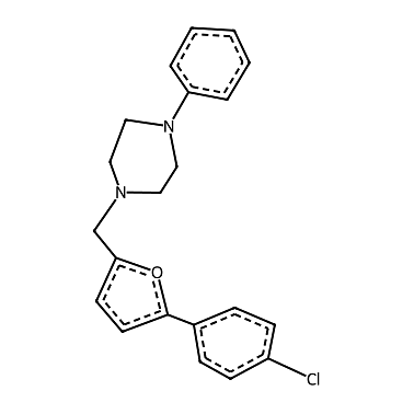 Clc1ccc(-c2ccc(CN3CCN(c4ccccc4)CC3)o2)cc1